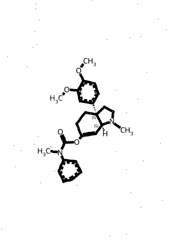 COc1ccc([C@@]23CCC(OC(=O)N(C)c4ccccc4)=C[C@@H]2N(C)CC3)cc1OC